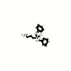 CCCC[Si](C)(Oc1ccccc1)Oc1ccccc1